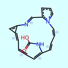 O=C(O)NC1=C\C=C/C=C2C=C\2/N=C/c2cccn2/C=C\C=C\1